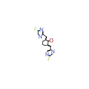 O=C1/C(=C/c2cnc(F)cn2)CCC/C1=C\c1cnc(F)cn1